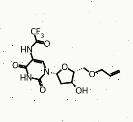 C=CCOC[C@H]1O[C@@H](n2cc(NC(=O)C(F)(F)F)c(=O)[nH]c2=O)C[C@@H]1O